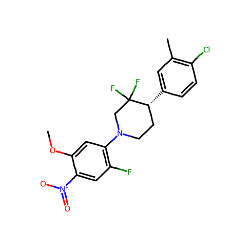 COc1cc(N2CC[C@@H](c3ccc(Cl)c(C)c3)C(F)(F)C2)c(F)cc1[N+](=O)[O-]